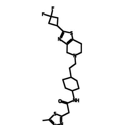 Cc1nnc(CC(=O)NC2CCC(CCN3CCc4sc(C5CC(F)(F)C5)nc4C3)CC2)s1